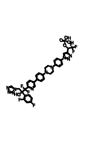 O=P(O)(O)OC(c1cn(-c2ccc(N3CCN(c4ccc(-c5ccc(C(F)(F)C(O)(Cn6cnnn6)c6ccc(F)cc6F)nc5)cc4)CC3)cc2)nn1)C(F)(F)F